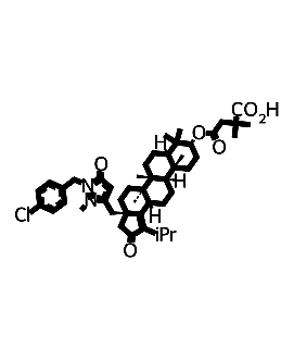 CC(C)C1=C2[C@H]3CC[C@@H]4[C@@]5(C)CC[C@H](OC(=O)CC(C)(C)C(=O)O)C(C)(C)[C@@H]5CC[C@@]4(C)[C@]3(C)CC[C@@]2(Cc2cc(=O)n(Cc3ccc(Cl)cc3)n2C)CC1=O